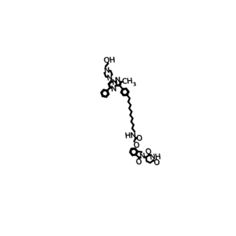 Cc1nn2c(N3CCN(CCO)CC3)cc(-c3ccccc3)nc2c1-c1ccc(CCCCCCCCCCCNC(=O)COc2cccc3c2CN(C2CCC(=O)NC2=O)C3=O)cc1